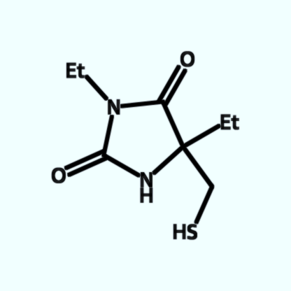 CCN1C(=O)NC(CC)(CS)C1=O